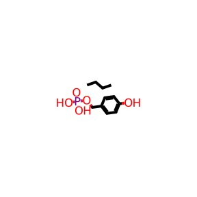 CCCC.O=P(O)(O)OCc1ccc(O)cc1